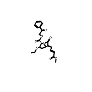 CCS[C@H]1CC2C(C/C=C/C(=O)OC)C(=O)N2[C@@H]1C(=O)OCC(=O)c1ccccc1